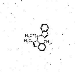 C[CH2][Hf]([CH]1C(C)=Cc2ccccc21)[CH]1C(C)=Cc2ccccc21